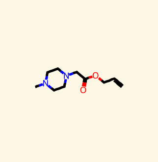 C=CCOC(=O)CN1CCN(C)CC1